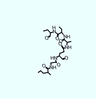 CCCC(C)C(=O)NCC(=O)NC(C=O)CCC(=O)NC(C)C(=O)NC(CC)C(=O)NC(C=O)CC